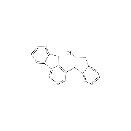 CCC1=Cc2ccccc2C1c1cccc2c1Cc1ccccc1-2